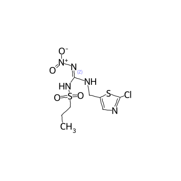 CCCS(=O)(=O)N/C(=N\[N+](=O)[O-])NCc1cnc(Cl)s1